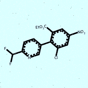 CCOC(=O)c1cc([N+](=O)[O-])cc(Cl)c1-c1ccc(C(F)F)nc1